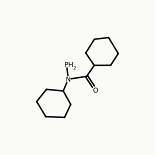 O=C(C1CCCCC1)N(P)C1CCCCC1